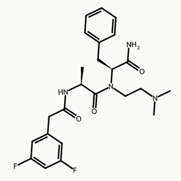 C[C@H](NC(=O)Cc1cc(F)cc(F)c1)C(=O)N(CCN(C)C)[C@@H](Cc1ccccc1)C(N)=O